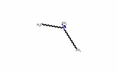 CCCCCCCCCCCCCCCCC[n+]1ccn(CC)c1CCCCCCCCCCCCCCC